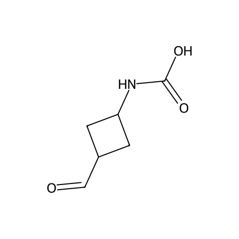 O=CC1CC(NC(=O)O)C1